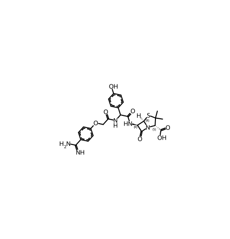 CC1(C)S[C@@H]2[C@H](NC(=O)C(NC(=O)COc3ccc(C(=N)N)cc3)c3ccc(O)cc3)C(=O)N2[C@H]1C(=O)O